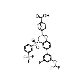 O=C(O)C12CCC([C@H]3CN(S(=O)(=O)c4cccc(C(F)(F)F)c4)c4cc(-c5cc(F)cc(OC(F)F)c5)ccc4O3)(CC1)CC2